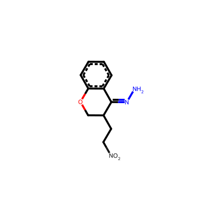 N/N=C1\c2ccccc2OCC1CC[N+](=O)[O-]